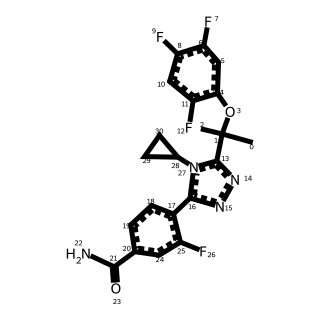 CC(C)(Oc1cc(F)c(F)cc1F)c1nnc(-c2ccc(C(N)=O)cc2F)n1C1CC1